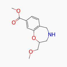 COCC1CNCc2ccc(C(=O)OC)cc2O1